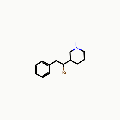 BrC(Cc1ccccc1)C1CCCNC1